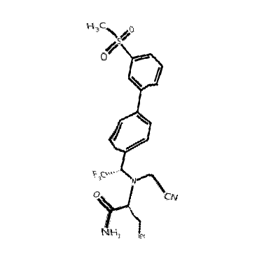 CC(C)C[C@@H](C(N)=O)N(CC#N)[C@@H](c1ccc(-c2cccc(S(C)(=O)=O)c2)cc1)C(F)(F)F